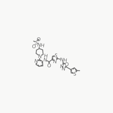 Cc1cc(-c2nnc(Nc3nc(C(=O)Nc4cccnc4N4CCC(NS(C)(=O)=O)CC4)cs3)o2)cs1